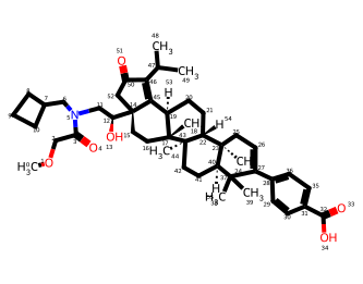 COCC(=O)N(CC1CCC1)C[C@H](O)[C@@]12CC[C@]3(C)[C@H](CC[C@@H]4[C@@]5(C)CC=C(c6ccc(C(=O)O)cc6)C(C)(C)[C@H]5CC[C@]43C)C1=C(C(C)C)C(=O)C2